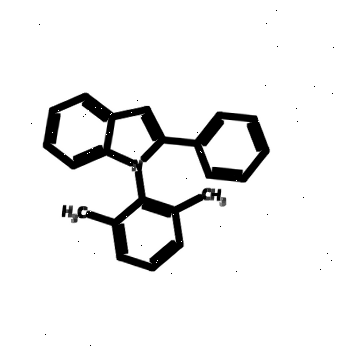 Cc1cccc(C)c1-n1c(-c2ccccc2)cc2ccccc21